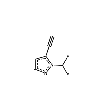 C#Cc1c[c]nn1C(F)F